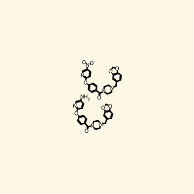 Nc1ccc(Oc2ccc(C(=O)N3CCN(Cc4ccc5c(c4)OCO5)CC3)cc2)nc1.O=C(c1ccc(Oc2ccc([N+](=O)[O-])cn2)cc1)N1CCN(Cc2ccc3c(c2)OCO3)CC1